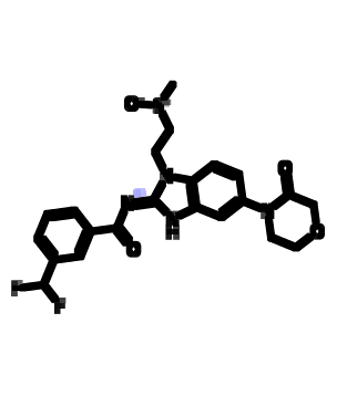 C[S+]([O-])CCn1/c(=N/C(=O)c2cccc(C(F)F)c2)[nH]c2cc(N3CCOCC3=O)ccc21